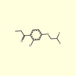 CCC(=O)c1ccc(OCC(F)F)cc1Cl